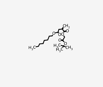 C=C(CC(=O)OCCCCCCCC)C(=O)OCC(=O)OC(C)(C)C